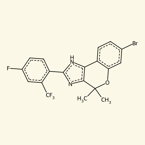 CC1(C)Oc2cc(Br)ccc2-c2[nH]c(-c3ccc(F)cc3C(F)(F)F)nc21